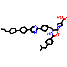 CCCC1CCC(C2CC=C(c3cnc(-c4ccc(CC(NC(=O)c5ccc(CC(C)C)cc5)C(=O)N5CC(C(=O)O)C5)cc4)nc3)CC2)CC1